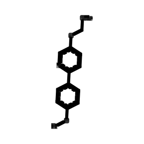 CCOc1ccc(-c2ccc(OCOC)cn2)cc1